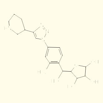 Cc1cc(-n2cc(C3CCCNC3)nn2)ccc1C(O)C1OC(O)C(O)C1O